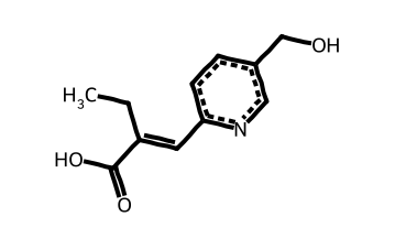 CC/C(=C\c1ccc(CO)cn1)C(=O)O